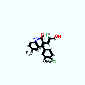 COc1cc(-c2c(C=C(F)CO)c(=O)[nH]c3ccc(C(F)(F)F)cc23)ccc1Cl